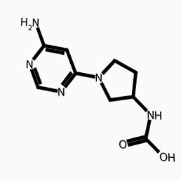 Nc1cc(N2CCC(NC(=O)O)C2)ncn1